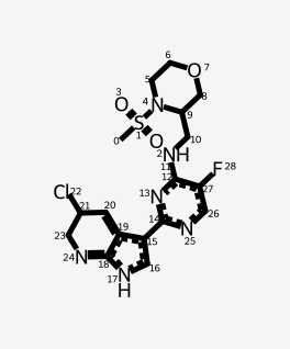 CS(=O)(=O)N1CCOCC1CNc1nc(-c2c[nH]c3c2=CC(Cl)CN=3)ncc1F